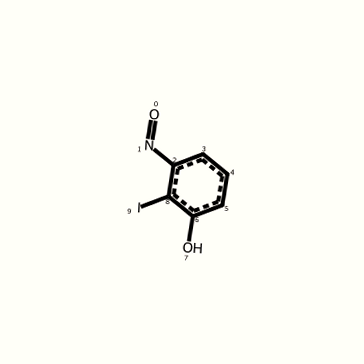 O=Nc1cccc(O)c1I